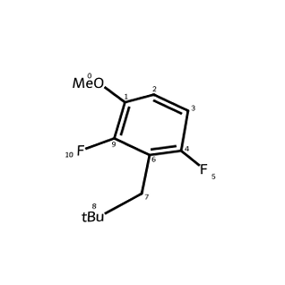 COc1ccc(F)c(CC(C)(C)C)c1F